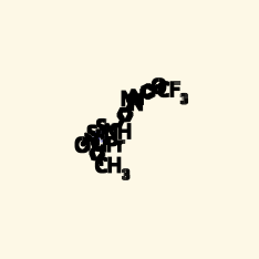 Cc1ccc(N2C(=O)CS/C2=N\C(=S)NCCc2ccc(-c3ncn(-c4ccc(OC(F)(F)F)cc4)n3)cc2)c(C(C)C)c1